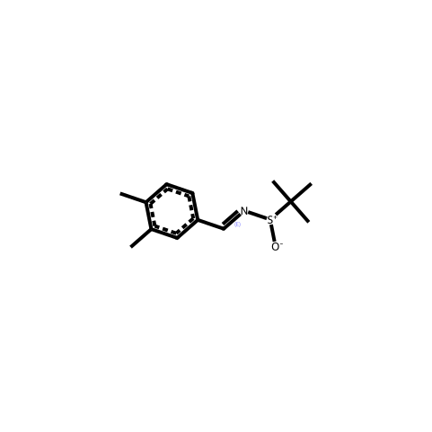 Cc1ccc(/C=N/[S+]([O-])C(C)(C)C)cc1C